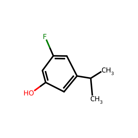 CC(C)c1cc(O)cc(F)c1